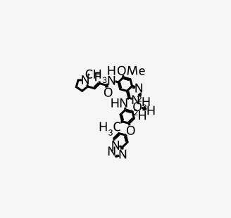 [2H]C([2H])([2H])Oc1cc(Oc2ccn3ncnc3c2)c(C)cc1Nc1ncnc2cc(OC)c(NC(=O)C(F)=CC3CCCN3C)cc12